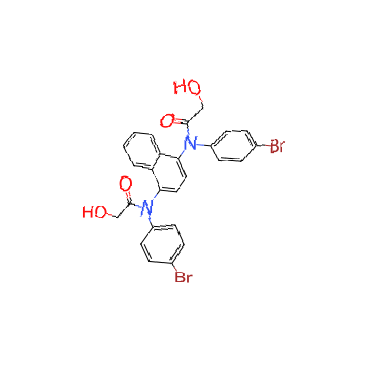 O=C(CO)N(c1ccc(Br)cc1)c1ccc(N(C(=O)CO)c2ccc(Br)cc2)c2ccccc12